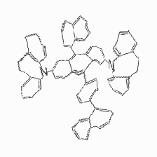 C1=CC2=C(CC1)CCc1ccccc1N2c1ccc2c(-c3ccc(-c4cccc5ccccc45)cc3)c3cc(N4c5ccccc5CCc5ccccc54)ccc3c(-c3cccc4ccccc34)c2c1